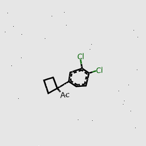 CC(=O)C1(c2ccc(Cl)c(Cl)c2)CCC1